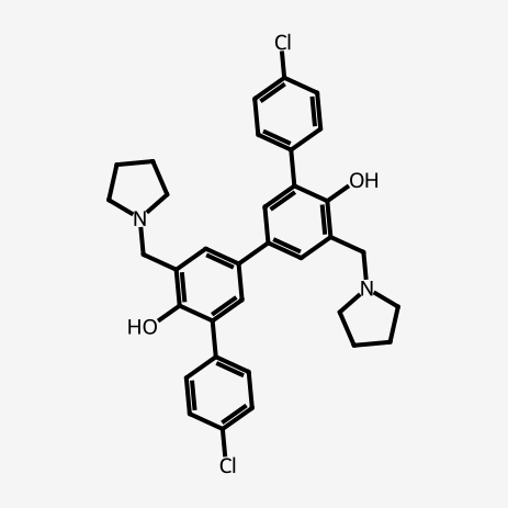 Oc1c(CN2CCCC2)cc(-c2cc(CN3CCCC3)c(O)c(-c3ccc(Cl)cc3)c2)cc1-c1ccc(Cl)cc1